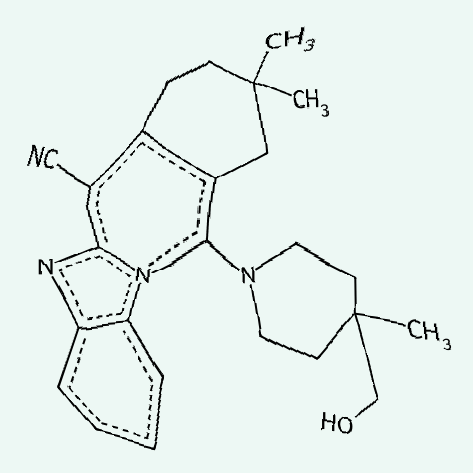 CC1(C)CCc2c(c(N3CCC(C)(CO)CC3)n3c(nc4ccccc43)c2C#N)C1